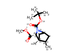 COC(=O)[C@H]1[C@H]2CC(C[C@H]2C)N1C(=O)OC(C)(C)C